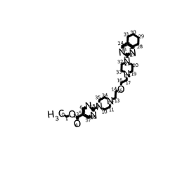 CCOC(=O)c1cnc(N2CCN(CCOCCN3CCN(c4ncc5c(n4)CCCC5)CC3)CC2)nc1